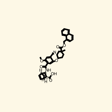 COc1cc(C#N)c(OC2CCC(C)(C(=O)OCc3cccc4ccccc34)CC2)cc1C(=O)N[C@H]1[C@@H](C(=O)O)[C@@H]2C=C[C@H]1C2